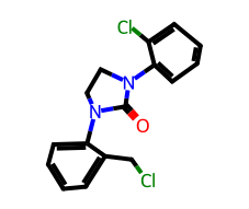 O=C1N(c2ccccc2Cl)CCN1c1ccccc1CCl